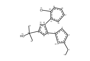 CCc1ccc(-c2cc(C(C)(C)O)nn2-c2ccccc2Cl)s1